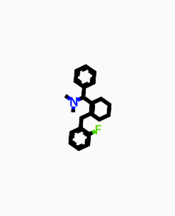 CN(C)C(C1=C(Cc2ccccc2F)CCCC1)c1ccccc1